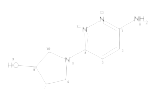 Nc1ccc(N2CCC(O)C2)nn1